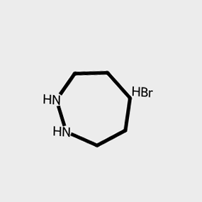 Br.C1CCNNCC1